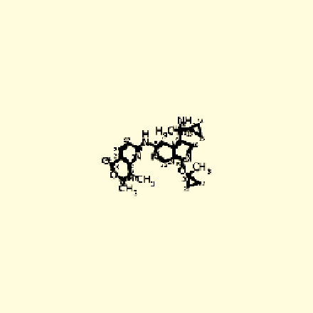 C[C@@H]1c2nc(Nc3cc4c([C@](C)(N)C5CC5)cnc(OC5(C)CC5)c4cn3)ccc2C(=O)O[C@@H]1C